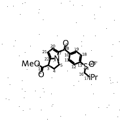 COC(=O)C1CCn2c(C(=O)c3ccc([S+]([O-])CC(C)C)cc3)ccc21